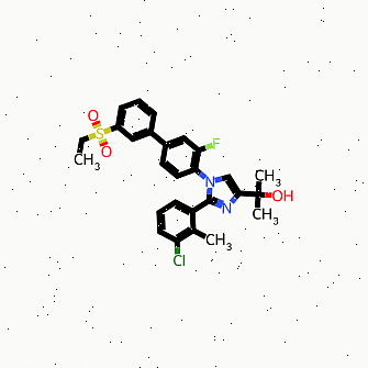 CCS(=O)(=O)c1cccc(-c2ccc(-n3cc(C(C)(C)O)nc3-c3cccc(Cl)c3C)c(F)c2)c1